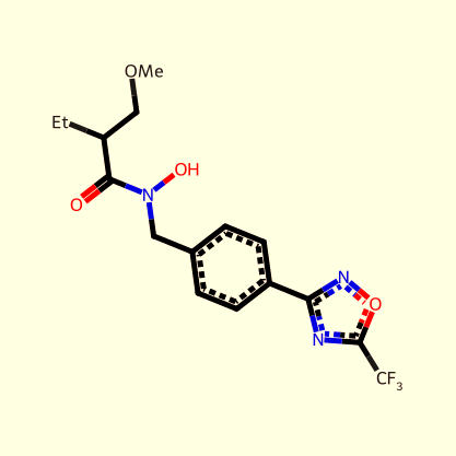 CCC(COC)C(=O)N(O)Cc1ccc(-c2noc(C(F)(F)F)n2)cc1